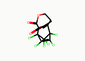 O=C1OCCC23CCOC(=O)C12C1(Cl)C(Cl)=C(Cl)C3(Cl)C1(Cl)Cl